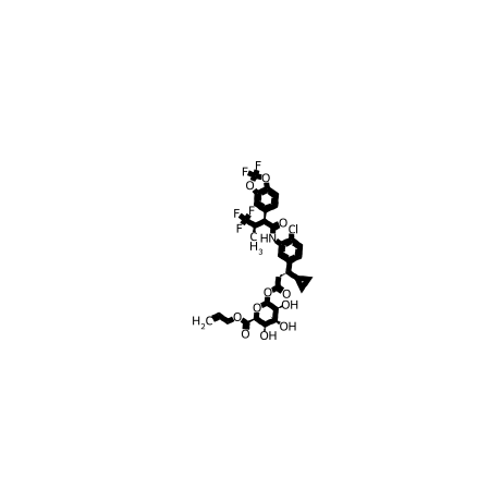 C=CCOC(=O)[C@H]1OC(OC(=O)C[C@H](c2ccc(Cl)c(NC(=O)[C@H](c3ccc4c(c3)OC(F)(F)O4)[C@@H](C)C(F)(F)F)c2)C2CC2)[C@H](O)[C@@H](O)[C@@H]1O